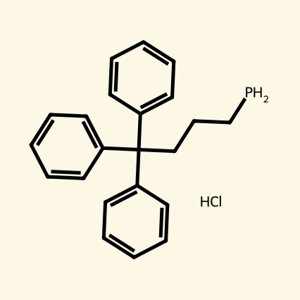 Cl.PCCCC(c1ccccc1)(c1ccccc1)c1ccccc1